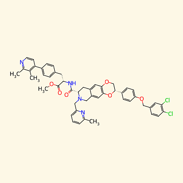 COC(=O)[C@H](Cc1ccc(-c2ccnc(C)c2C)cc1)NC(=O)[C@@H]1Cc2cc3c(cc2CN1Cc1cccc(C)n1)O[C@@H](c1ccc(OCc2ccc(Cl)c(Cl)c2)cc1)CO3